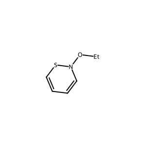 CCON1C=CC=CS1